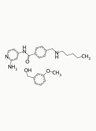 CCCCCNCc1ccc(C(=O)Nc2ccnc(N)c2)cc1.COc1cccc(CO)c1